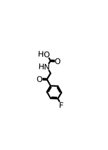 O=C(O)NCC(=O)c1ccc(F)cc1